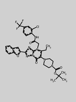 CCc1c(N2CCN(C(=O)OC(C)(C)C)CC2)c(=O)n2nc(-c3cc4ccccc4o3)nc2n1CC(=O)Nc1ccc(C(F)(F)F)cc1Cl